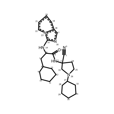 N#CC1(NC(=O)C(CC2CCCCC2)Nc2ncc3ccccn23)CCN(C2CCCCC2)C1